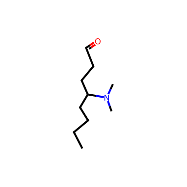 CCCCC(CCC=O)N(C)C